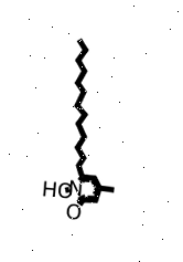 CCCCCCCCCCCCCc1cc(C)cc(=O)n1O